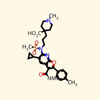 CNC(=O)c1c(-c2ccc(C)cc2)oc2nc(N(CCCC3(C(=O)O)CCN(C)CC3)S(C)(=O)=O)c(C3CC3)cc12